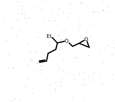 [CH]=CCCC(CC)OCC1CO1